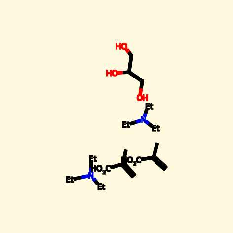 C=C(C)C(=O)O.C=C(C)C(=O)O.CCN(CC)CC.CCN(CC)CC.OCC(O)CO